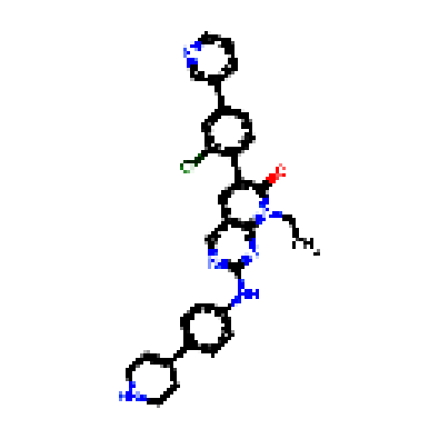 CCn1c(=O)c(-c2ccc(-c3cccnc3)cc2Cl)cc2cnc(Nc3ccc(C4=CCNCC4)cc3)nc21